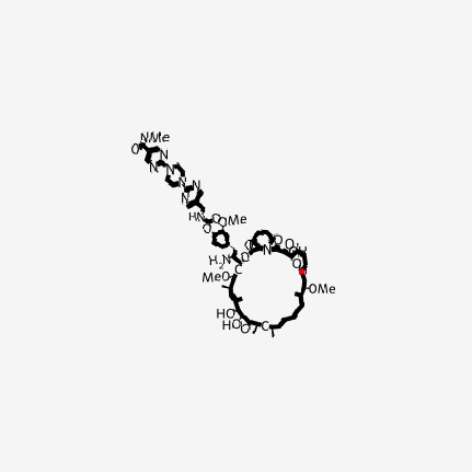 CNC(=O)c1cnc(N2CCN(c3ncc(CNC(=O)O[C@@H]4CC[C@@H](C[C@@H](N)[C@@H]5C[C@@H](OC)[C@H](C)/C=C(\C)[C@@H](O)[C@@H](O)C(=O)[C@H](C)C[C@H](C)/C=C/C=C/C=C(\C)[C@@H](OC)C[C@@H]6CC[C@@H](C)[C@@](O)(O6)C(=O)C(=O)N6CCCC[C@H]6C(=O)O5)C[C@H]4OC)cn3)CC2)nc1